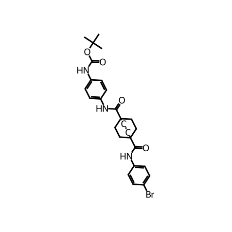 CC(C)(C)OC(=O)Nc1ccc(NC(=O)C23CCC(C(=O)Nc4ccc(Br)cc4)(CC2)CC3)cc1